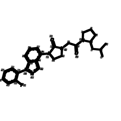 CC(C)CC1CCCN1C(=O)CN1CCN(c2cccc3c2cnn3-c2ccccc2F)C1=O